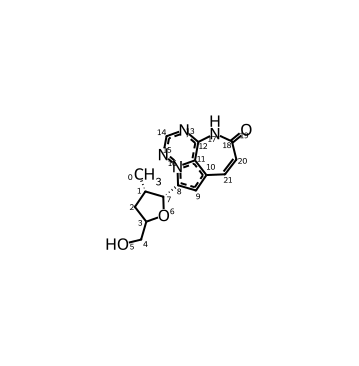 C[C@H]1CC(CO)O[C@H]1c1cc2c3c(ncnn13)NC(=O)C=C2